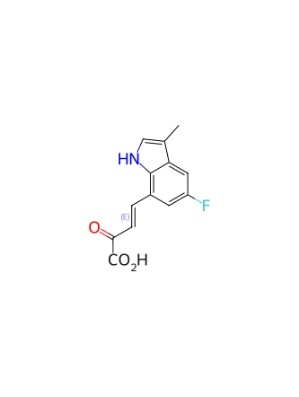 Cc1c[nH]c2c(/C=C/C(=O)C(=O)O)cc(F)cc12